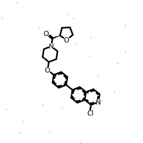 O=C([C@H]1CCCO1)N1CCC(Oc2ccc(-c3ccc4c(Cl)nccc4c3)cc2)CC1